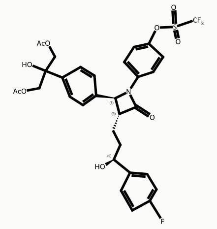 CC(=O)OCC(O)(COC(C)=O)c1ccc([C@@H]2[C@@H](CC[C@H](O)c3ccc(F)cc3)C(=O)N2c2ccc(OS(=O)(=O)C(F)(F)F)cc2)cc1